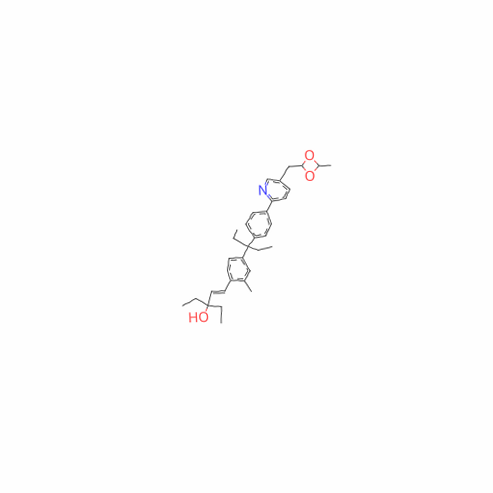 CCC(O)(/C=C/c1ccc(C(CC)(CC)c2ccc(-c3ccc(CC4OC(C)O4)cn3)cc2)cc1C)CC